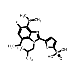 CCc1cc(F)c(N(C)C)c2nc(-c3ccc(P(=O)(O)O)o3)n(CC(C)C)c12